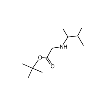 CC(C)C(C)NCC(=O)OC(C)(C)C